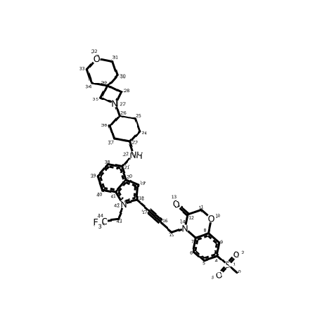 CS(=O)(=O)c1ccc2c(c1)OCC(=O)N2CC#Cc1cc2c(NC3CCC(N4CC5(CCOCC5)C4)CC3)cccc2n1CC(F)(F)F